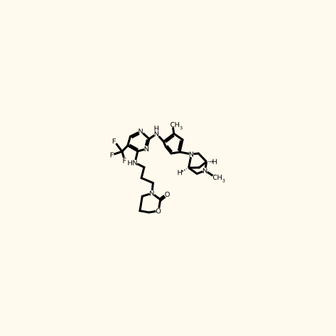 Cc1cc(N2C[C@@H]3C[C@H]2CN3C)ccc1Nc1ncc(C(F)(F)F)c(NCCCN2CCCOC2=O)n1